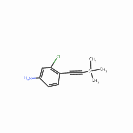 C[Si](C)(C)C#Cc1ccc(N)cc1Cl